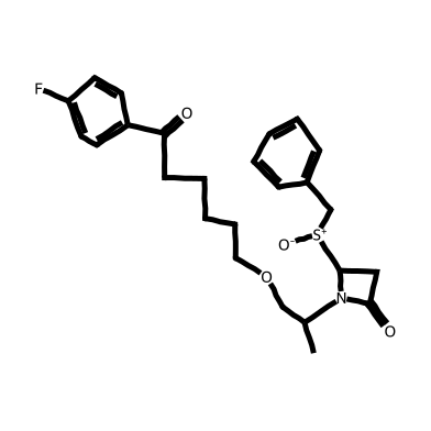 CC(COCCCCCC(=O)c1ccc(F)cc1)N1C(=O)CC1[S+]([O-])Cc1ccccc1